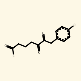 O=C(Cl)CCCC(=O)C(=O)Cc1ccc(Cl)cc1